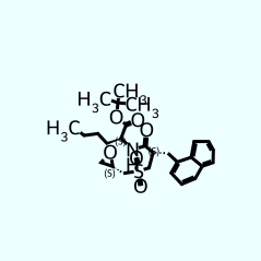 CCCC[C@H](NC(=O)[C@H](Cc1cccc2ccccc12)CS(=O)(=O)C[C@@H]1CO1)C(=O)OC(C)(C)C